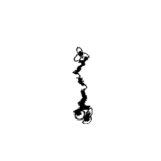 O=C1OCC(CCCSCCSCCCC2COC(=O)OC2)CO1